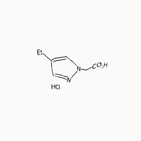 CCc1cnn(C(=O)O)c1.Cl